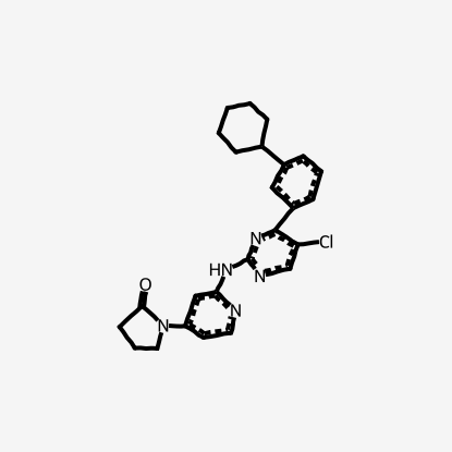 O=C1CCCN1c1ccnc(Nc2ncc(Cl)c(-c3cccc(C4CCCCC4)c3)n2)c1